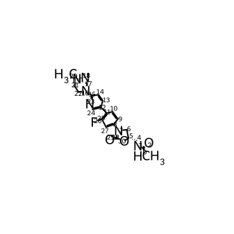 CC(=O)NC[C@H]1CN(c2ccc(-c3ccc(N4C=NN(C)CC4)nc3)c(F)c2)C(=O)O1